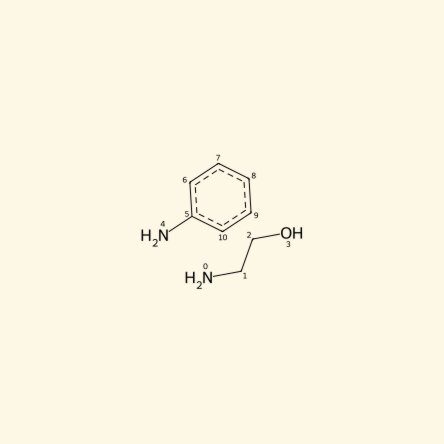 NCCO.Nc1ccccc1